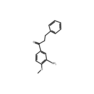 COc1ccc(C(=O)CCc2ccccc2)cc1N